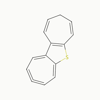 C1=CC=c2sc3c(c2=CC=1)C=CCC=C3